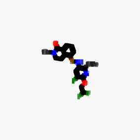 COc1nc(OCC(F)F)c(F)cc1NSc1cccc2c1CCN(C(C)(C)C)C2=O